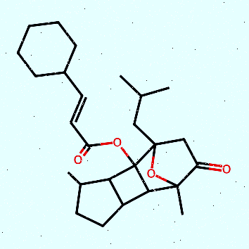 CC(C)CC12CC(=O)C(C)(O1)C1C3CCC(C)C3C12OC(=O)/C=C/C1CCCCC1